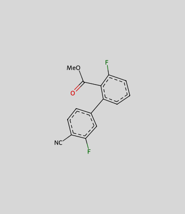 COC(=O)c1c(F)cccc1-c1ccc(C#N)c(F)c1